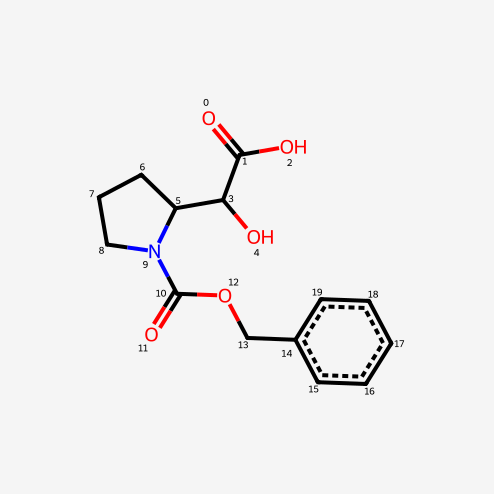 O=C(O)C(O)C1CCCN1C(=O)OCc1ccccc1